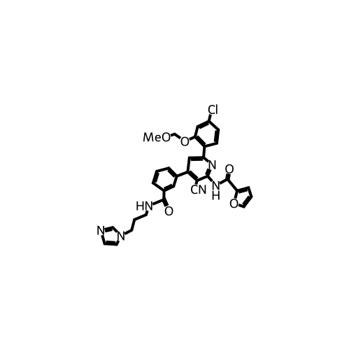 COCOc1cc(Cl)ccc1-c1cc(-c2cccc(C(=O)NCCCn3ccnc3)c2)c(C#N)c(NC(=O)c2ccco2)n1